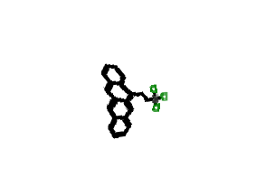 Cl[Si](Cl)(Cl)CCc1c2ccccc2cc2cc3ccccc3cc12